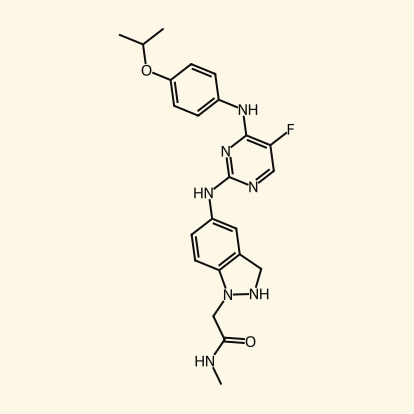 CNC(=O)CN1NCc2cc(Nc3ncc(F)c(Nc4ccc(OC(C)C)cc4)n3)ccc21